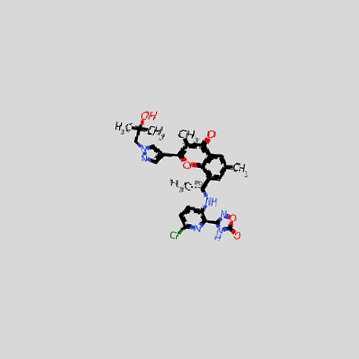 Cc1cc([C@@H](C)Nc2ccc(Cl)nc2-c2noc(=O)[nH]2)c2oc(-c3cnn(CC(C)(C)O)c3)c(C)c(=O)c2c1